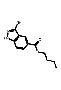 CCCCOC(=O)c1ccc2[nH]nc(N)c2c1